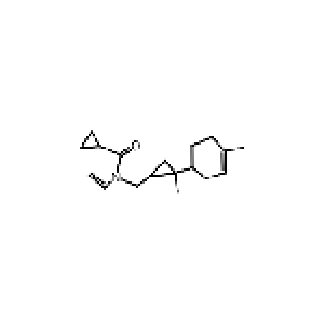 C=CN(CC1CC1(C)C1CC=C(C)CC1)C(=O)C1CC1